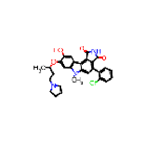 CC(CCN1CCCC1)Oc1cc2c(cc1O)c1c3c(c(-c4ccccc4Cl)cc1n2C)C(=O)NC3=O